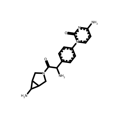 Nc1ccn(-c2ccc(C(N)C(=O)N3CC4C(N)C4C3)cc2)c(=O)n1